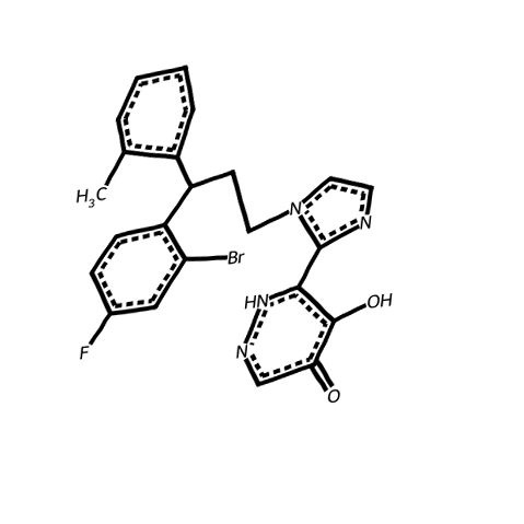 Cc1ccccc1C(CCn1ccnc1-c1[nH]ncc(=O)c1O)c1ccc(F)cc1Br